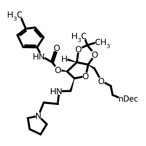 CCCCCCCCCCCCOC[C@@]12O[C@@H](CNCCN3CCCC3)[C@@H](OC(=O)Nc3ccc(C)cc3)[C@@H]1OC(C)(C)O2